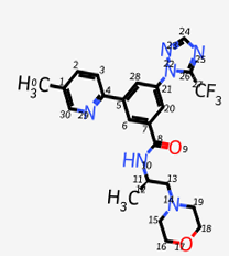 Cc1ccc(-c2cc(C(=O)N[C@H](C)CN3CCOCC3)cc(-n3ncnc3C(F)(F)F)c2)nc1